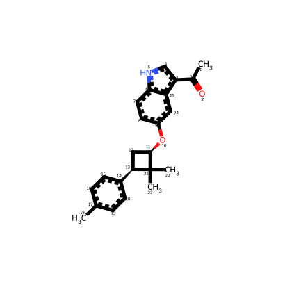 CC(=O)c1c[nH]c2ccc(O[C@@H]3C[C@H](c4ccc(C)cc4)C3(C)C)cc12